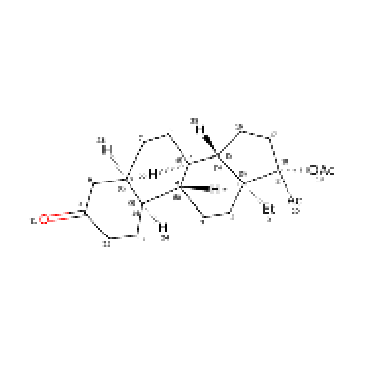 CC[C@]12CC[C@H]3[C@@H](CC[C@@H]4CC(=O)CC[C@@H]43)[C@@H]1CC[C@@]2(OC(C)=O)C(C)=O